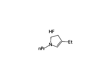 CCCN1C=C(CC)CC1.F